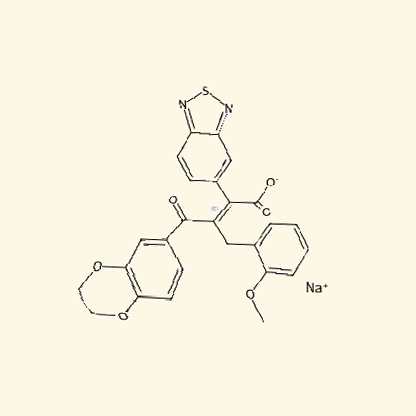 COc1ccccc1C/C(C(=O)c1ccc2c(c1)OCCO2)=C(\C(=O)[O-])c1ccc2nsnc2c1.[Na+]